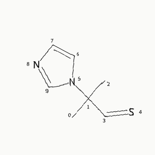 CC(C)(C=S)n1ccnc1